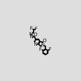 O=C1c2cc(-c3nnc(C(F)F)o3)cnc2CN1Cc1c(F)cccc1F